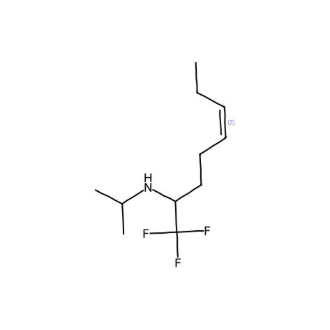 CC/C=C\CCC(NC(C)C)C(F)(F)F